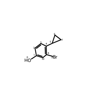 Oc1ccc(C2CC2)c(Br)c1